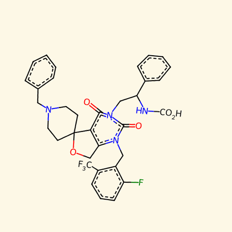 O=C(O)NC(Cn1c(=O)c2c(n(Cc3c(F)cccc3C(F)(F)F)c1=O)COC21CCN(Cc2ccccc2)CC1)c1ccccc1